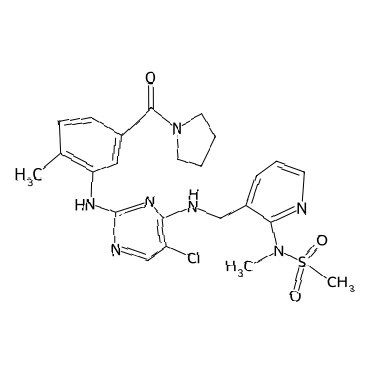 Cc1ccc(C(=O)N2CCCC2)cc1Nc1ncc(Cl)c(NCc2cccnc2N(C)S(C)(=O)=O)n1